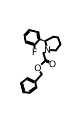 O=C(CN1CCCC[C@@H]1c1ccccc1F)OCc1ccccc1